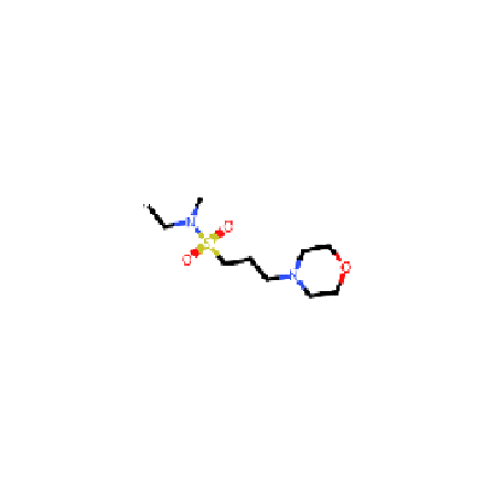 [CH2]CN(C)S(=O)(=O)CCCN1CCOCC1